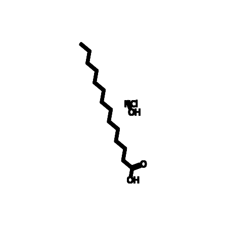 CCCCCCCCCCCCCC(=O)O.CO.Cl